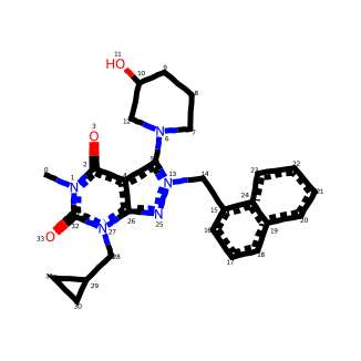 Cn1c(=O)c2c(N3CCCC(O)C3)n(Cc3cccc4ccccc34)nc2n(CC2CC2)c1=O